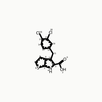 O=C(O)c1[nH]c2sccc2c1Cc1ccc(Cl)c(Cl)c1